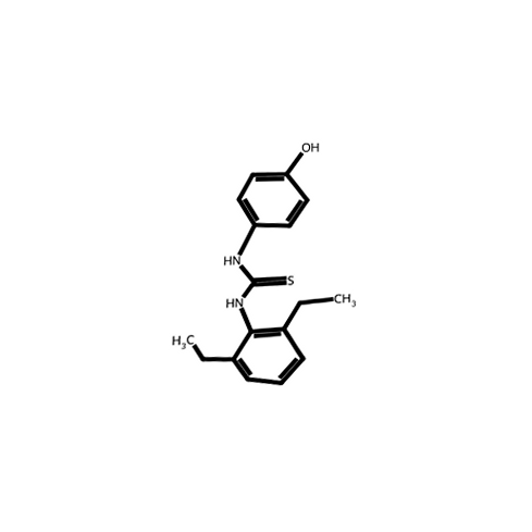 CCc1cccc(CC)c1NC(=S)Nc1ccc(O)cc1